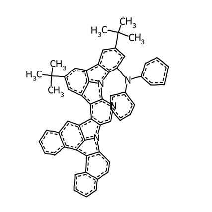 CC(C)(C)c1cc(N(c2ccccc2)c2ccccc2)c2c(c1)c1cc(C(C)(C)C)cc3c4c5c6cc7ccccc7c7c8c9ccccc9ccc8n(c5cnc4n2c13)c67